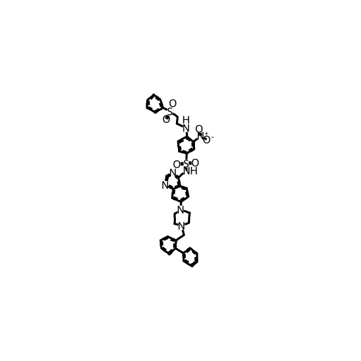 O=[N+]([O-])c1cc(S(=O)(=O)Nc2ncnc3cc(N4CCN(Cc5ccccc5-c5ccccc5)CC4)ccc23)ccc1NCCS(=O)(=O)c1ccccc1